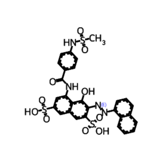 CS(=O)(=O)Nc1ccc(C(=O)Nc2cc(S(=O)(=O)O)cc3cc(S(=O)(=O)O)c(/N=N/c4cccc5ccccc45)c(O)c23)cc1